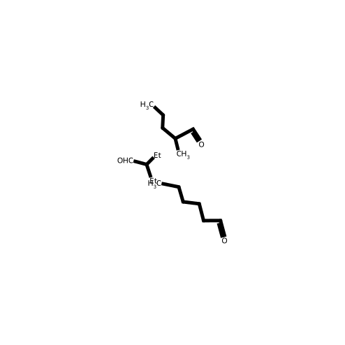 CCC(C=O)CC.CCCC(C)C=O.CCCCCC=O